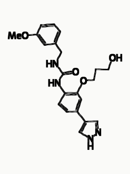 COc1cccc(CNC(=O)Nc2ccc(-c3cn[nH]c3)cc2OCCCO)c1